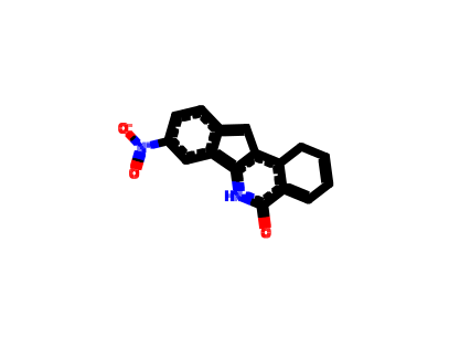 O=c1[nH]c2c(c3c1=CC=CC3)C=c1ccc([N+](=O)[O-])cc1=2